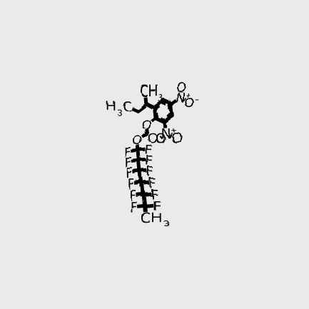 CCC(C)c1cc([N+](=O)[O-])cc([N+](=O)[O-])c1OC(=O)OC(F)(F)C(F)(F)C(F)(F)C(F)(F)C(F)(F)C(C)(F)F